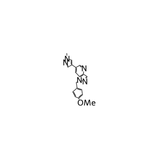 COc1ccc(Cn2ncc3ncc(-c4cnn(C)c4)cc32)cc1